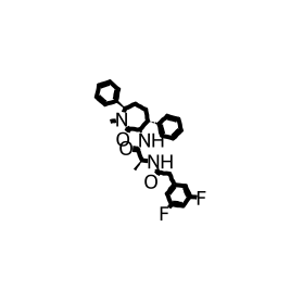 C[C@H](NC(=O)Cc1cc(F)cc(F)c1)C(=O)N[C@@H]1C(=O)N(C)[C@@H](c2ccccc2)CC[C@@H]1c1ccccc1